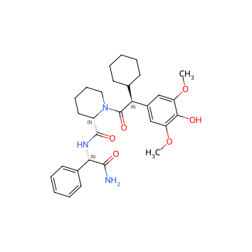 COc1cc([C@@H](C(=O)N2CCCC[C@H]2C(=O)N[C@H](C(N)=O)c2ccccc2)C2CCCCC2)cc(OC)c1O